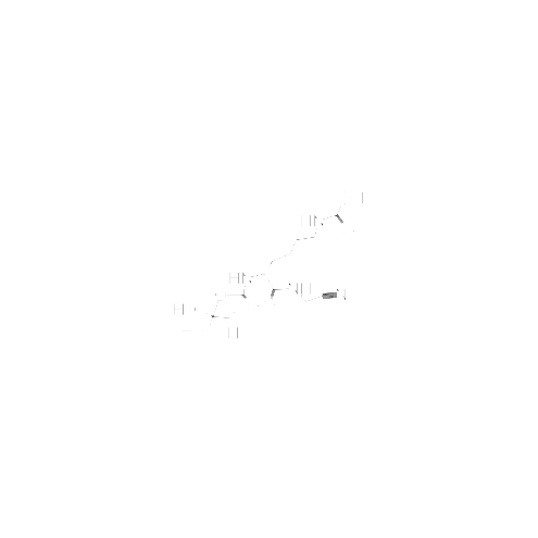 CC(C)(C)OC(=O)N[C@@H](CCCCNC(=O)O)C(=O)NCC#N